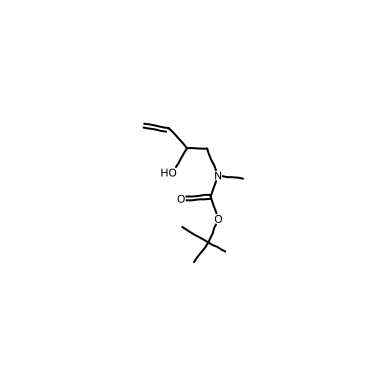 C=CC(O)CN(C)C(=O)OC(C)(C)C